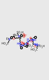 CCN(CCCS(=O)(=O)O)c1ccc2c(C(C)(C)C)cc(/C=C/C=C3\N(CCCS(=O)(=O)O)c4ccc(S(=O)(=O)[O-])cc4C3(C)CCCC(=O)N[C@@H](Cc3ccccc3)C(=O)NC(Cc3ccccc3)C(=O)NCC(=O)NCCNC(=O)[C@H](Cc3ccccc3)NC(=O)CC[C@H](NC(=O)N[C@@H](CCC(=O)O)C(=O)O)C(=O)O)[o+]c2c1